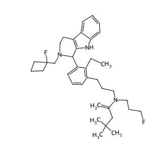 C=C(CC(C)(C)C)N(CCCF)CCCc1cccc(C2c3[nH]c4ccccc4c3CCN2CC2(F)CCC2)c1CC